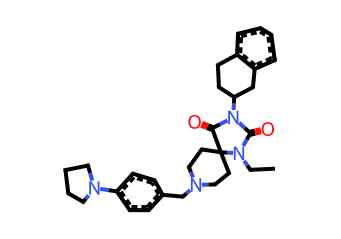 CCN1C(=O)N(C2CCc3ccccc3C2)C(=O)C12CCN(Cc1ccc(N3CCCC3)cc1)CC2